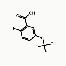 O=C(O)c1cc(OC(F)(F)F)ccc1I